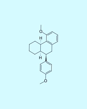 COc1ccc([C@@H]2Cc3cccc(OC)c3[C@@H]3CCCC[C@H]23)cc1